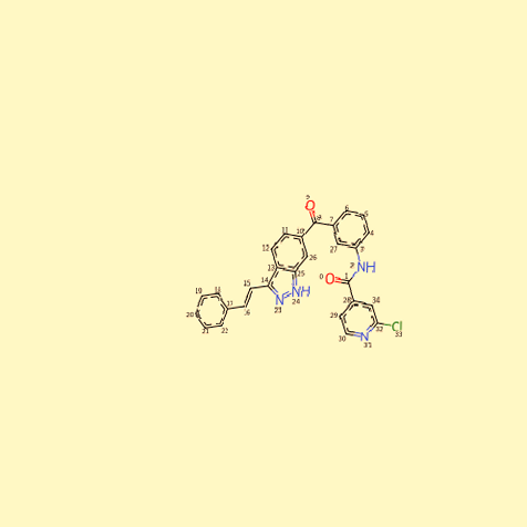 O=C(Nc1cccc(C(=O)c2ccc3c(/C=C/c4ccccc4)n[nH]c3c2)c1)c1ccnc(Cl)c1